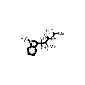 CNC(C(=O)NC(C)C(C)(C)C)C(C)(C)c1cn(C)c2ccccc12